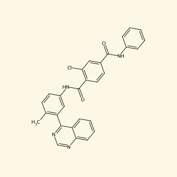 Cc1ccc(NC(=O)c2ccc(C(=O)Nc3ccccc3)cc2Cl)cc1-c1ncnc2ccccc12